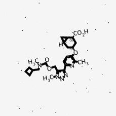 Cc1nc(-c2nnn(C)c2COC(=O)N(C)CC2CCC2)ccc1O[C@H]1C[C@@H]2CC2[C@@H](C(=O)O)C1